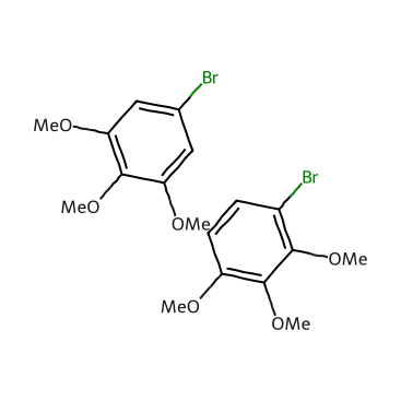 COc1cc(Br)cc(OC)c1OC.COc1ccc(Br)c(OC)c1OC